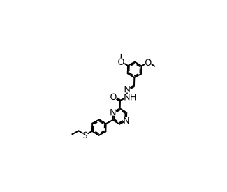 CCSc1ccc(-c2cncc(C(=O)NN=Cc3cc(OC)cc(OC)c3)n2)cc1